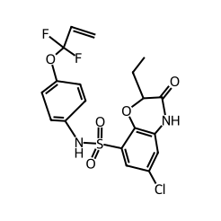 C=CC(F)(F)Oc1ccc(NS(=O)(=O)c2cc(Cl)cc3c2OC(CC)C(=O)N3)cc1